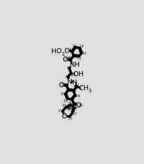 Cc1nn(C[C@@H](O)CNC(=O)c2ccccc2C(=O)O)c(=O)c2ccc(C(=O)N3C4CCC3COC4)cc12